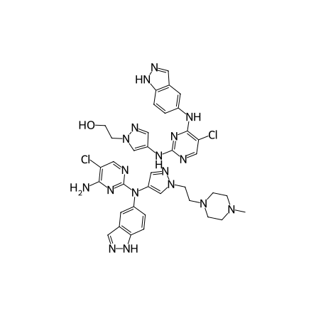 CN1CCN(CCn2cc(N(c3ccc4[nH]ncc4c3)c3ncc(Cl)c(N)n3)cn2)CC1.OCCn1cc(Nc2ncc(Cl)c(Nc3ccc4[nH]ncc4c3)n2)cn1